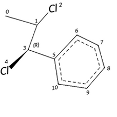 CC(Cl)[C@H](Cl)c1ccccc1